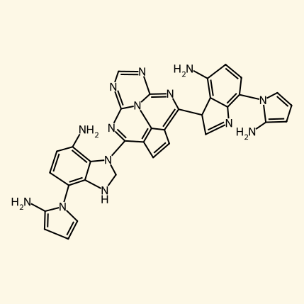 Nc1ccc(-n2cccc2N)c2c1C(c1nc3ncnc4nc(N5CNc6c(-n7cccc7N)ccc(N)c65)c5ccc1c5n34)C=N2